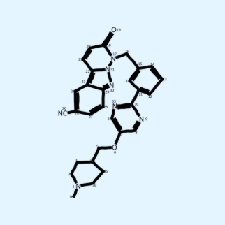 CN1CCC(COc2cnc(-c3cccc(Cn4c(=O)ccc5c6cc(C#N)ccc6nn54)c3)nc2)CC1